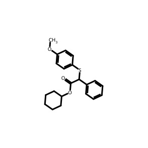 COc1ccc(SC(C(=O)OC2CCCCC2)c2ccccc2)cc1